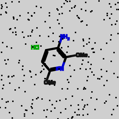 COc1ccc(N)c(OC)n1.Cl